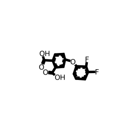 O=C(O)c1ccc(Oc2cccc(F)c2F)cc1C(=O)O